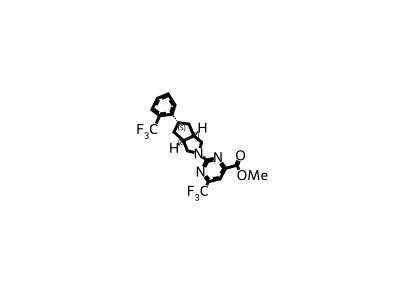 COC(=O)c1cc(C(F)(F)F)nc(N2C[C@H]3C[C@H](c4ccccc4C(F)(F)F)C[C@H]3C2)n1